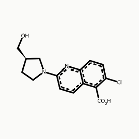 O=C(O)c1c(Cl)ccc2nc(N3CC[C@@H](CO)C3)ccc12